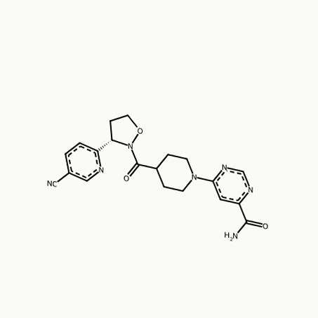 N#Cc1ccc([C@@H]2CCON2C(=O)C2CCN(c3cc(C(N)=O)ncn3)CC2)nc1